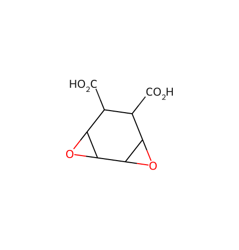 O=C(O)C1C2OC2C2OC2C1C(=O)O